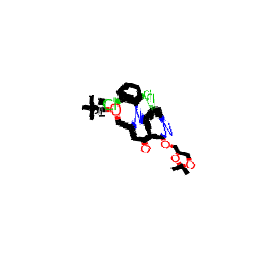 CC1(C)OCC(COc2ncc(Cl)c3c2c(=O)cc(CO[Si](C)(C)C(C)(C)C)n3-c2c(Cl)cccc2Cl)O1